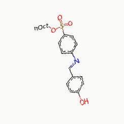 CCCCCCCCOS(=O)(=O)c1ccc(N=Cc2ccc(O)cc2)cc1